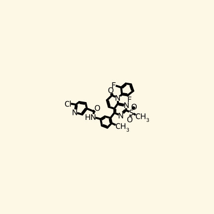 Cc1ccc(NC(=O)c2ccc(Cl)nc2)cc1-c1nc(S(C)(=O)=O)nc2c1ccc(=O)n2-c1c(F)cccc1F